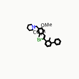 COc1cc(/C=C(\Br)c2cccc(-c3ccccc3)c2C)c(C)cc1CN1CCCC[C@H]1C(=O)O